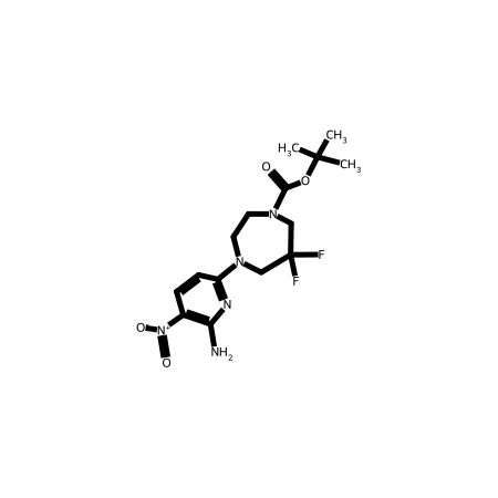 CC(C)(C)OC(=O)N1CCN(c2ccc([N+](=O)[O-])c(N)n2)CC(F)(F)C1